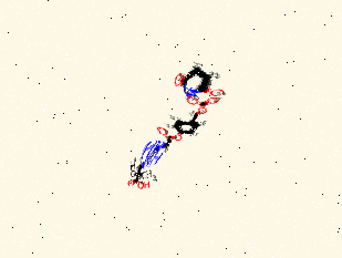 CC(C)(CNNCC(=O)Oc1ccc(COC(=O)ON2C(=O)CCC2=O)cc1)C(=O)O